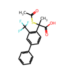 CC(=O)SC(C)(C(=O)O)c1ccc(-c2ccccc2)cc1C(F)(F)F